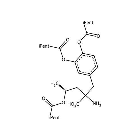 CCCC(C)C(=O)Oc1ccc(CC(N)(C[C@H](C)OC(=O)C(C)CCC)C(=O)O)cc1OC(=O)C(C)CCC